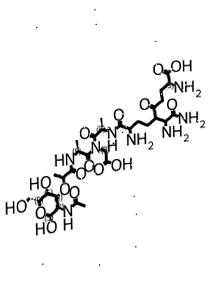 CC(=O)N[C@@H]1[C@@H](OC(C)C(=O)N[C@@H](C)C(=O)N(C(=O)[C@@H](C)NC(=O)C(N)CCC(C(=O)CC[C@H](N)C(=O)O)C(N)C(N)=O)[C@H](C)C(=O)O)[C@H](O)[C@@H](CO)O[C@@H]1O